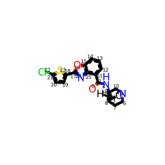 O=C(N[C@@H]1CN2CCC1CC2)c1cccc2oc(-c3ccc(Cl)s3)nc12